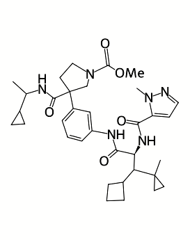 COC(=O)N1CCC(C(=O)NC(C)C2CC2)(c2cccc(NC(=O)[C@@H](NC(=O)c3ccnn3C)C(C3CCC3)C3(C)CC3)c2)C1